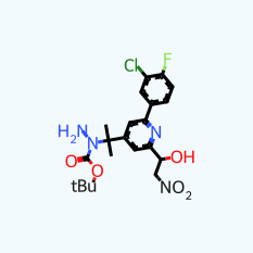 CC(C)(C)OC(=O)N(N)C(C)(C)c1cc(-c2ccc(F)c(Cl)c2)nc(C(O)C[N+](=O)[O-])c1